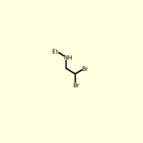 CCNCC(Br)Br